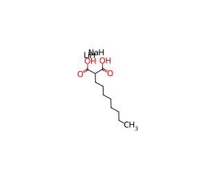 CCCCCCCCC(C(=O)O)C(=O)O.[LiH].[NaH]